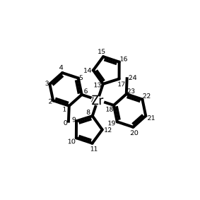 Cc1cccc[c]1[Zr]([C]1=CC=CC1)([C]1=CC=CC1)[c]1ccccc1C